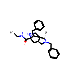 CC(C)CNC(=O)C12CC3CN(Cc4ccccc4)[C@@H](C3CN1)C2Cc1ccccc1